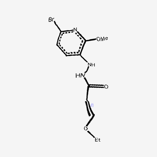 CCO/C=C/C(=O)NNc1ccc(Br)nc1OC